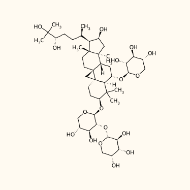 C[C@H](CC[C@H](O)C(C)(C)O)[C@H]1[C@@H](O)C[C@@]2(C)[C@@H]3C[C@H](O[C@@H]4OC[C@@H](O)[C@H](O)[C@H]4O)[C@H]4C(C)(C)[C@@H](O[C@@H]5OC[C@@H](O)[C@H](O)[C@H]5O[C@H]5OC[C@@H](O)[C@@H](O)[C@@H]5O)CC[C@@]45C[C@@]35CC[C@]12C